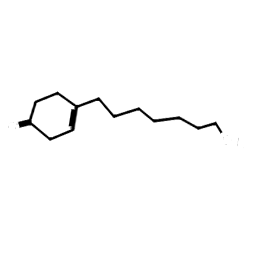 CCCCCCCCC1=CCC(=O)CC1